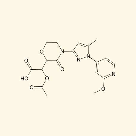 COc1cc(-n2nc(N3CCOC(C(OC(C)=O)C(=O)O)C3=O)cc2C)ccn1